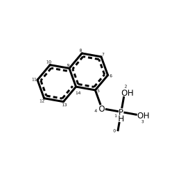 C[PH](O)(O)Oc1cccc2ccccc12